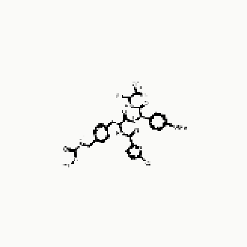 COc1ccc(C(NC(=O)C(Cc2ccc(CNC(=O)OC(C)(C)C)cc2)NC(=O)c2ccc(Cl)s2)C(=O)NC(C(=O)C(F)(F)F)C(C)C)cc1